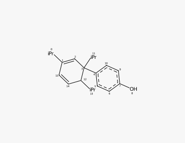 CC(C)C1=CC(c2ccc(O)cc2)(C(C)C)C(C(C)C)C=C1